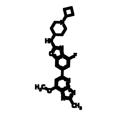 COc1cc(-c2cc(F)c3nc(NC4CCN(C5CCC5)CC4)oc3c2)nn2nc(C)nc12